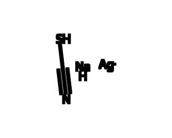 N#CS.[Ag].[NaH]